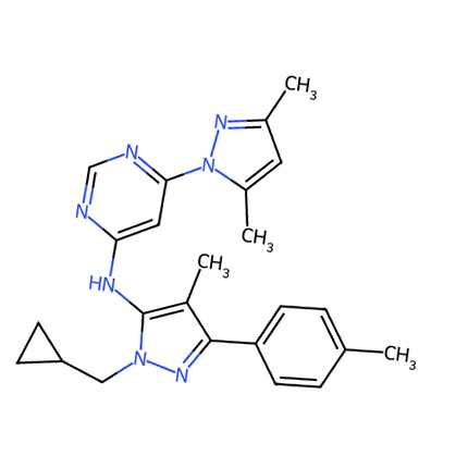 Cc1ccc(-c2nn(CC3CC3)c(Nc3cc(-n4nc(C)cc4C)ncn3)c2C)cc1